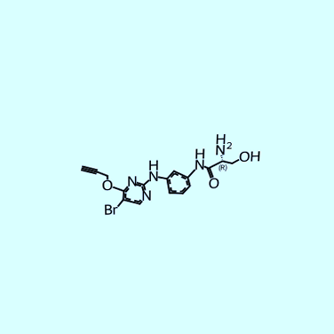 C#CCOc1nc(Nc2cccc(NC(=O)[C@H](N)CO)c2)ncc1Br